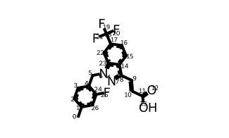 Cc1ccc(Cn2nc(C=CC(=O)O)c3ccc(C(F)(F)F)cc32)c(F)c1